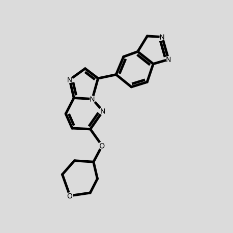 c1cc2c(cc1-c1cnc3ccc(OC4CCOCC4)nn13)CN=N2